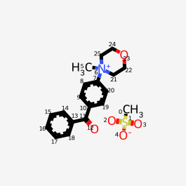 CS(=O)(=O)[O-].C[N+]1(c2ccc(C(=O)c3ccccc3)cc2)CCOCC1